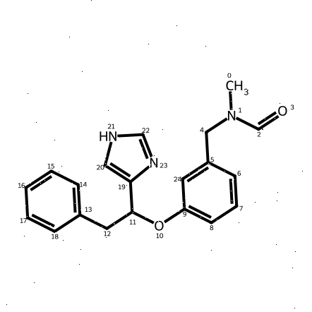 CN([C]=O)Cc1cccc(OC(Cc2ccccc2)c2c[nH]cn2)c1